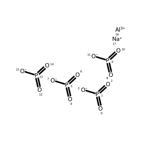 O=P(=O)[O-].O=P(=O)[O-].O=P(=O)[O-].O=P(=O)[O-].[Al+3].[Na+]